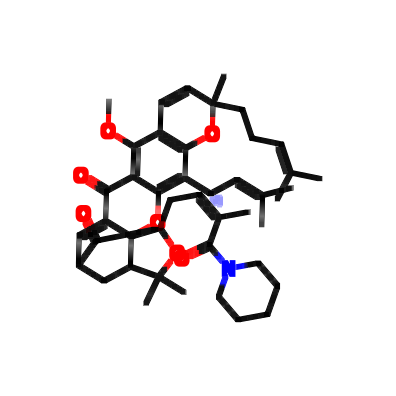 COc1c2c(c(CC=C(C)C)c3c1C(=O)C1=CC4CC5C(C)(C)OC(C/C=C(/C)C(=O)N6CCCCC6)(C4=O)C15O3)OC(C)(CCC=C(C)C)C=C2